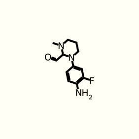 CN1CCCN(c2ccc(N)c(F)c2)C1C=O